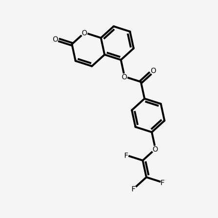 O=C(Oc1cccc2oc(=O)ccc12)c1ccc(OC(F)=C(F)F)cc1